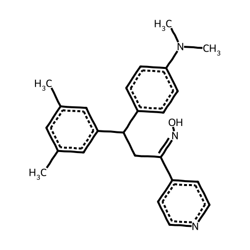 Cc1cc(C)cc(C(C/C(=N\O)c2ccncc2)c2ccc(N(C)C)cc2)c1